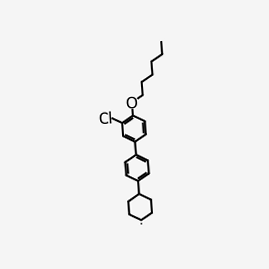 CCCCCCOc1ccc(-c2ccc(C3CC[CH]CC3)cc2)cc1Cl